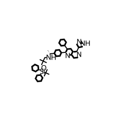 C[C@@H](NCC(C)(C)CO[Si](c1ccccc1)(c1ccccc1)C(C)(C)C)c1ccc(-c2nc3ccnc(-c4cn[nH]c4)c3cc2-c2ccccc2)cc1